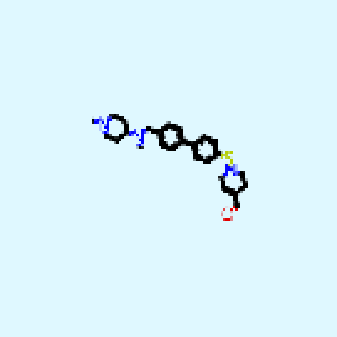 CN1CCC(N(C)Cc2ccc(-c3ccc(SN4CC=C(C=O)CC4)cc3)cc2)CC1